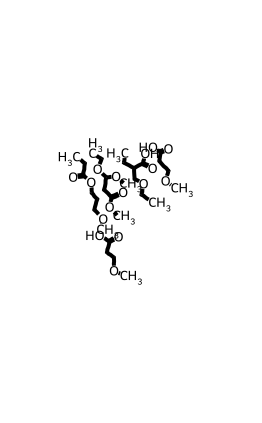 CCC(=O)OCCCOC.CCOC(CC(=O)OC)OC.CCOCC(CC)C(=O)O.COCCC(=O)O.COCCC(=O)O